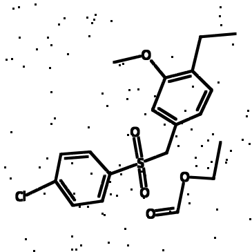 CCOC=O.CCc1ccc(CS(=O)(=O)c2ccc(Cl)cc2)cc1OC